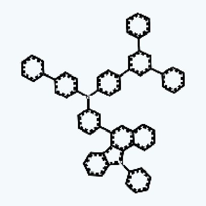 c1ccc(-c2ccc(N(c3ccc(-c4cc(-c5ccccc5)cc(-c5ccccc5)c4)cc3)c3cccc(-c4cc5ccccc5c5c4c4ccccc4n5-c4ccccc4)c3)cc2)cc1